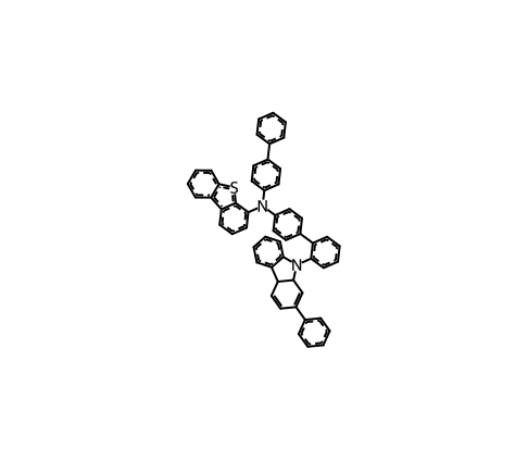 C1=CC2c3ccccc3N(c3ccccc3-c3ccc(N(c4ccc(-c5ccccc5)cc4)c4cccc5c4sc4ccccc45)cc3)C2C=C1c1ccccc1